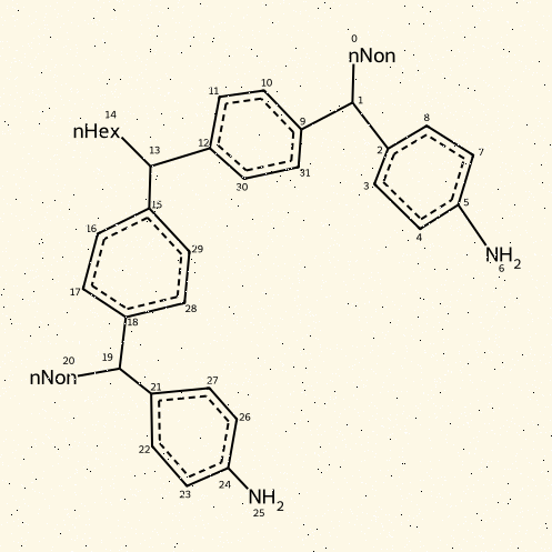 CCCCCCCCCC(c1ccc(N)cc1)c1ccc(C(CCCCCC)c2ccc(C(CCCCCCCCC)c3ccc(N)cc3)cc2)cc1